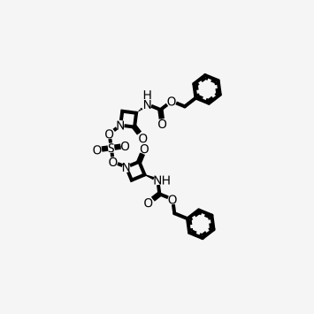 O=C(N[C@H]1CN(OS(=O)(=O)ON2C[C@H](NC(=O)OCc3ccccc3)C2=O)C1=O)OCc1ccccc1